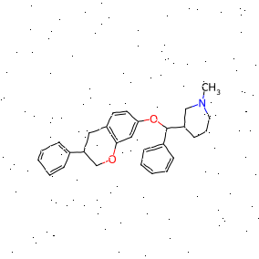 CN1CCCC(C(Oc2ccc3c(c2)OCC(c2ccccc2)C3)c2ccccc2)C1